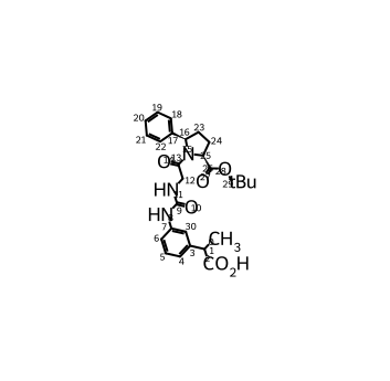 CC(C(=O)O)c1cccc(NC(=O)NCC(=O)N2[C@@H](c3ccccc3)CC[C@H]2C(=O)OC(C)(C)C)c1